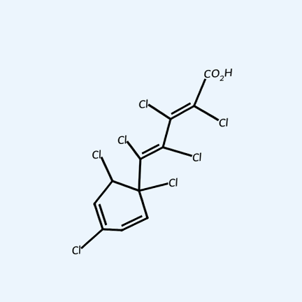 O=C(O)C(Cl)=C(Cl)C(Cl)=C(Cl)C1(Cl)C=CC(Cl)=CC1Cl